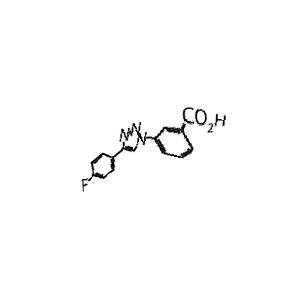 O=C(O)c1cccc(-n2cc(-c3ccc(F)cc3)nn2)c1